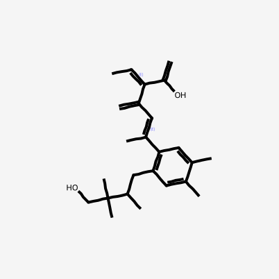 C=C(O)/C(=C/C)C(=C)/C=C(\C)c1cc(C)c(C)cc1CC(C)C(C)(C)CO